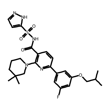 CC(C)COc1cc(F)cc(-c2ccc(C(=O)NS(=O)(=O)c3ccn[nH]3)c(N3CCCC(C)(C)C3)n2)c1